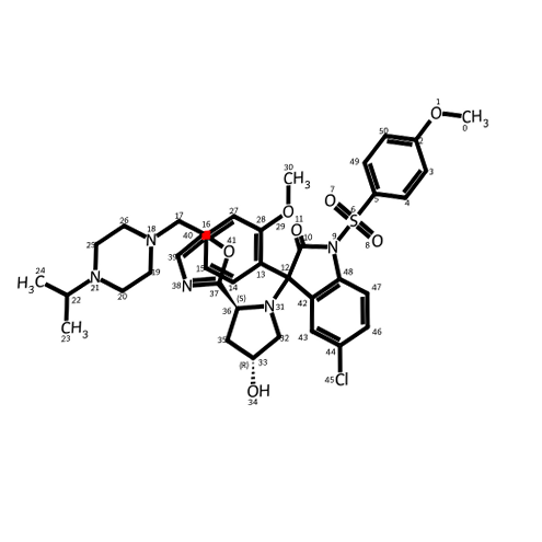 COc1ccc(S(=O)(=O)N2C(=O)C(c3ccc(CN4CCN(C(C)C)CC4)cc3OC)(N3C[C@H](O)C[C@H]3c3ncco3)c3cc(Cl)ccc32)cc1